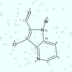 O=Cc1c(Cl)c2ncccc2n1Br